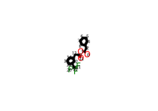 O=C(Cc1ccccc1)OC(=O)Cc1cccc(C(F)(F)F)c1